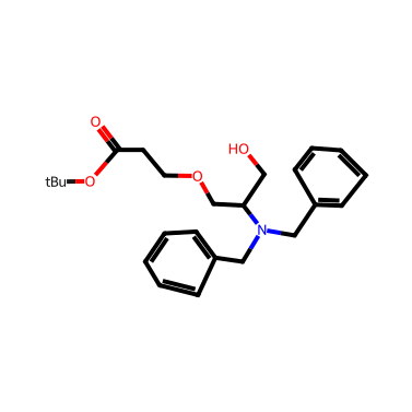 CC(C)(C)OC(=O)CCOCC(CO)N(Cc1ccccc1)Cc1ccccc1